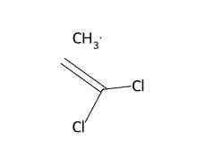 C=C(Cl)Cl.[CH3]